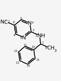 CC(Nc1ncc(C#N)cn1)c1ccccc1